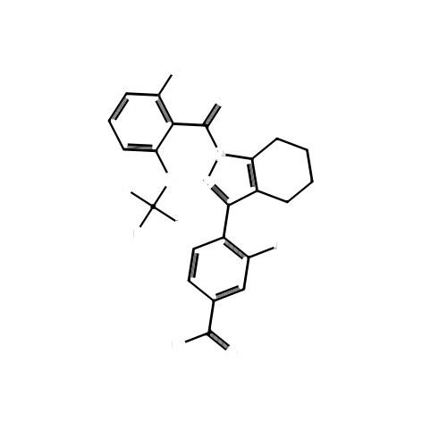 O=C(O)c1ccc(-c2nn(C(=O)c3c(Br)cccc3OC(F)(F)F)c3c2CCCC3)c(F)c1